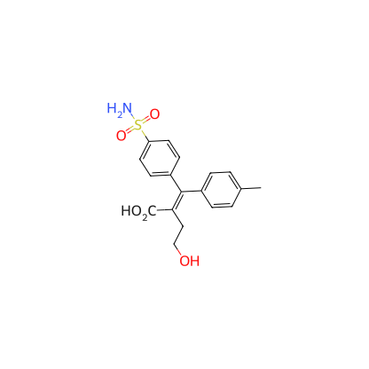 Cc1ccc(/C(=C(\CCO)C(=O)O)c2ccc(S(N)(=O)=O)cc2)cc1